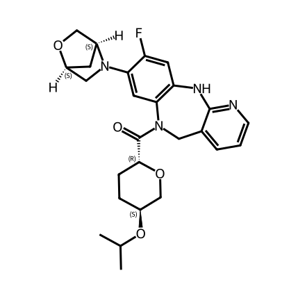 CC(C)O[C@H]1CC[C@H](C(=O)N2Cc3cccnc3Nc3cc(F)c(N4C[C@@H]5C[C@H]4CO5)cc32)OC1